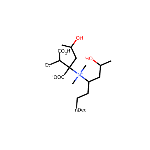 CCCCCCCCCCCCC(CC(C)O)[N+](C)(C)C(CC(C)O)(C(=O)[O-])C(CC)C(=O)O